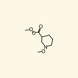 COOC(=O)C1CCCN(OC)C1